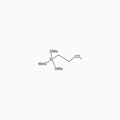 CO[Si](CCC(Cl)(Cl)Cl)(OC)OC